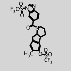 Cc1cc2c(cc1OS(=O)(=O)C(F)(F)F)C1CCCN(C(=O)c3ccc4ncn(S(=O)(=O)C(F)(F)F)c4c3)C1C2